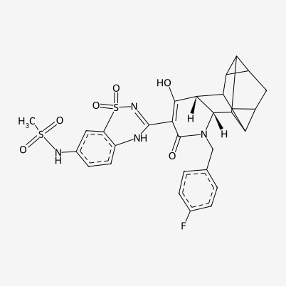 CS(=O)(=O)Nc1ccc2c(c1)S(=O)(=O)N=C(C1=C(O)[C@@H]3C4C5C6CC7C4C7C(C65)[C@@H]3N(Cc3ccc(F)cc3)C1=O)N2